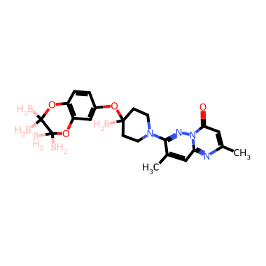 BC1(Oc2ccc3c(c2)OC(B)(B)C(B)(B)O3)CCN(c2nn3c(=O)cc(C)nc3cc2C)CC1